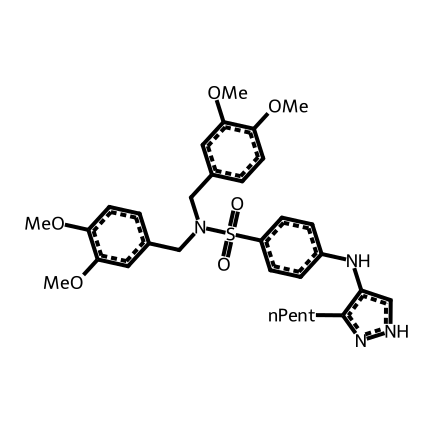 CCCCCc1n[nH]cc1Nc1ccc(S(=O)(=O)N(Cc2ccc(OC)c(OC)c2)Cc2ccc(OC)c(OC)c2)cc1